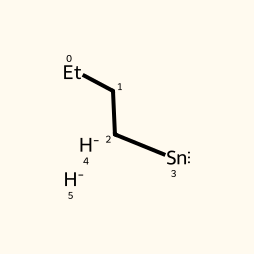 CCC[CH2][Sn].[H-].[H-]